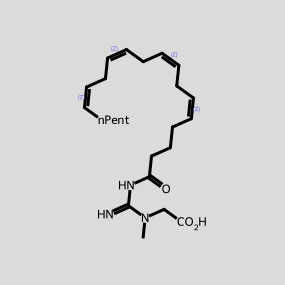 CCCCC/C=C\C/C=C\C/C=C\C/C=C\CCCC(=O)NC(=N)N(C)CC(=O)O